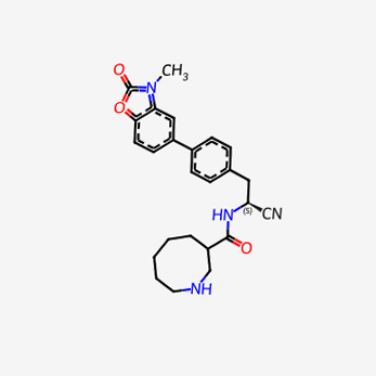 Cn1c(=O)oc2ccc(-c3ccc(C[C@@H](C#N)NC(=O)C4CCCCCNC4)cc3)cc21